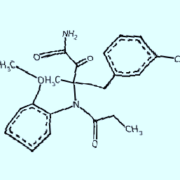 CCC(=O)N(c1ccccc1OC)C(C)(Cc1cccc(Cl)c1)C(=O)C(N)=O